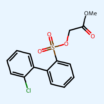 COC(=O)COS(=O)(=O)c1ccccc1-c1ccccc1Cl